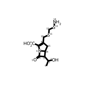 CC(O)C1C(=O)N2C(C(=O)O)=C(CSCSN)CC12